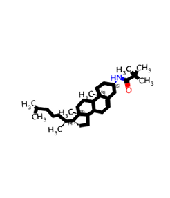 CC(C)CCC[C@@H](C)[C@H]1CCC2C3CC=C4C[C@@H](NC(=O)C(C)(C)C)CC[C@]4(C)C3CC[C@@]21C